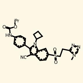 CC(C)OC(=O)Nc1ccc(-c2c(C#N)c3ccc(S(=O)(=O)CCc4nncn4C)cc3n2C2CCC2)cc1